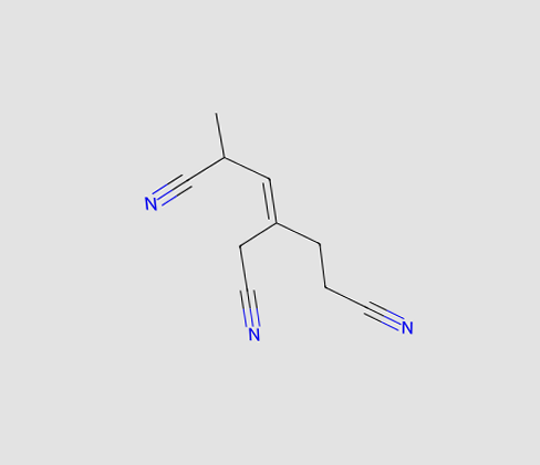 CC(C#N)/C=C(\CC#N)CCC#N